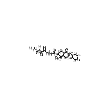 CC(C)NC(=O)NCCNC(=O)Oc1ncc2c(=O)n(Cc3ccccc3)ccc2c1O